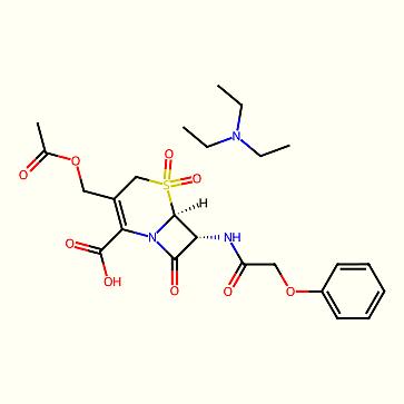 CC(=O)OCC1=C(C(=O)O)N2C(=O)[C@@H](NC(=O)COc3ccccc3)[C@@H]2S(=O)(=O)C1.CCN(CC)CC